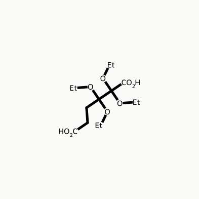 CCOC(CCC(=O)O)(OCC)C(OCC)(OCC)C(=O)O